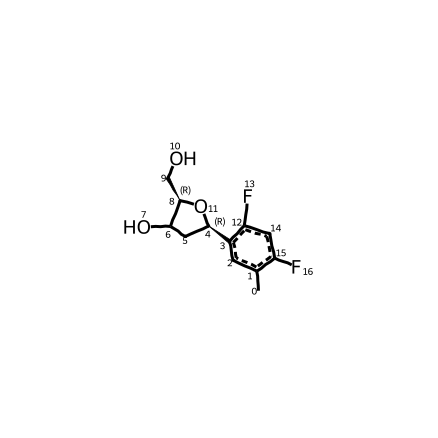 Cc1cc([C@H]2CC(O)[C@@H](CO)O2)c(F)cc1F